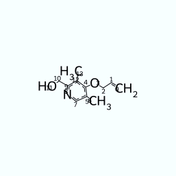 C=CCOc1c(C)cnc(CO)c1C